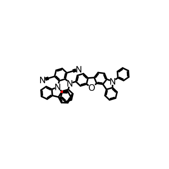 N#Cc1ccc(C#N)c(-n2c3ccccc3c3ccccc32)c1N(c1ccccc1)c1ccc2c(c1)oc1c2ccc2c1c1ccccc1n2-c1ccccc1